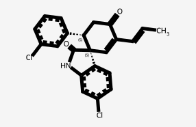 CC=CC1=C[C@@]2(C(=O)Nc3cc(Cl)ccc32)[C@H](c2cccc(Cl)c2)CC1=O